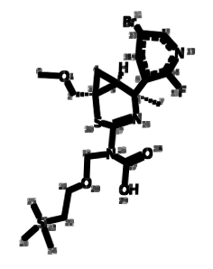 COC[C@]12C[C@H]1[C@@](C)(c1cc(Br)cnc1F)N=C(N(COCC[Si](C)(C)C)C(=O)O)S2